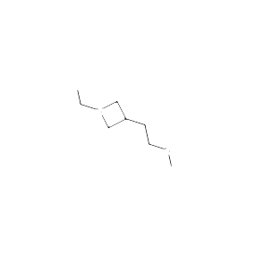 CCNCCC1CN(CC(C)C)C1